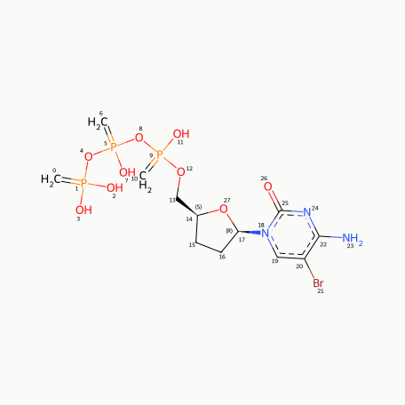 C=P(O)(O)OP(=C)(O)OP(=C)(O)OC[C@@H]1CC[C@H](n2cc(Br)c(N)nc2=O)O1